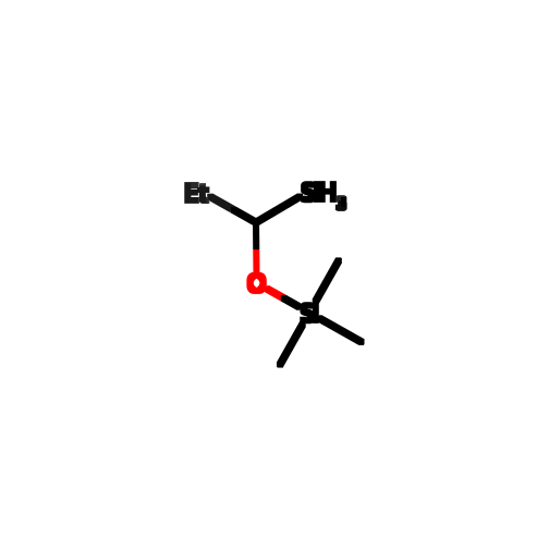 [CH2]CC([SiH3])O[Si](C)(C)C